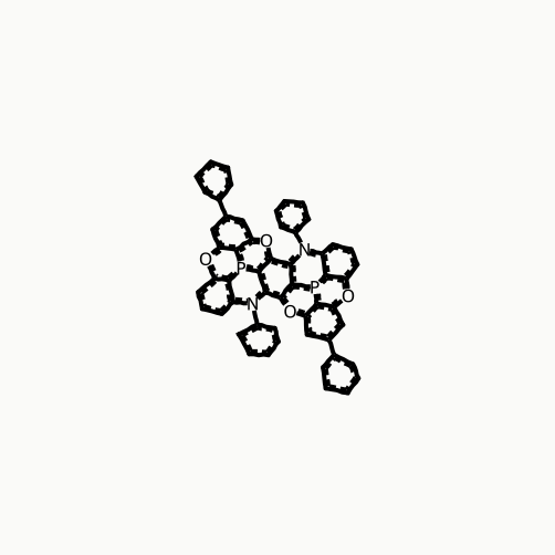 c1ccc(-c2cc3oc4cccc5c4p4c3c(c2)oc2c3c6c(oc7cc(-c8ccccc8)cc8oc9cccc(c9p6c87)n3-c3ccccc3)c(c24)n5-c2ccccc2)cc1